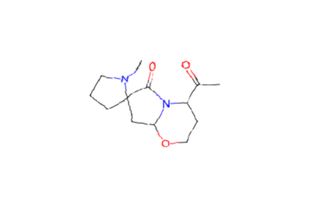 CC(=O)C1CCOC2CC3(CCCN3C)C(=O)N21